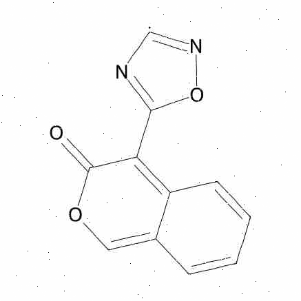 O=c1occ2ccccc2c1-c1n[c]no1